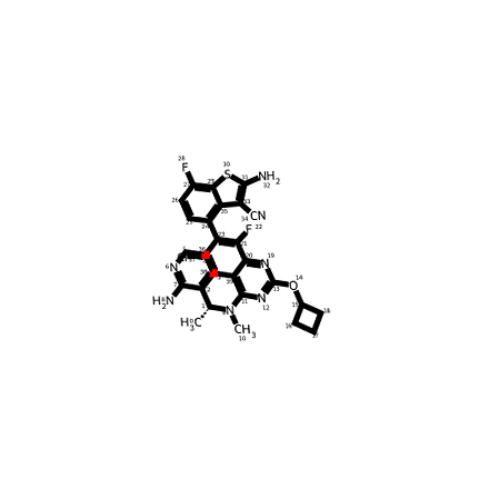 C[C@H](c1cccnc1N)N(C)c1nc(OC2CCC2)nc2c(F)c(-c3ccc(F)c4sc(N)c(C#N)c34)c(Cl)cc12